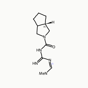 CN/C=N\C(=N)NC(=O)N1CC2CCC[C@@H]2C1